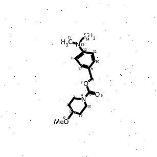 COC1CCN(C(=O)OCc2ccc(N(C)C)cc2)CC1